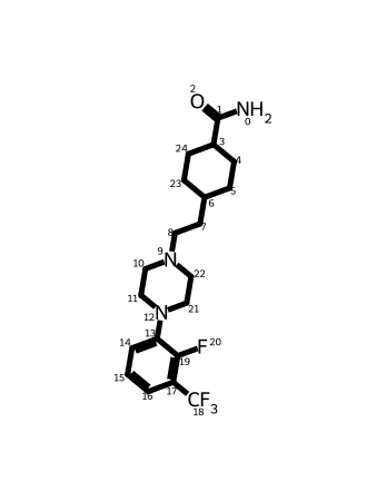 NC(=O)C1CCC(CCN2CCN(c3cccc(C(F)(F)F)c3F)CC2)CC1